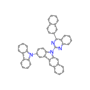 c1ccc2cc(-c3nc(-n4c5ccc(-n6c7ccccc7c7ccccc76)cc5c5cc6ccccc6cc54)nc4ccccc34)ccc2c1